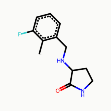 [CH2]c1c(F)cccc1CNC1CCNC1=O